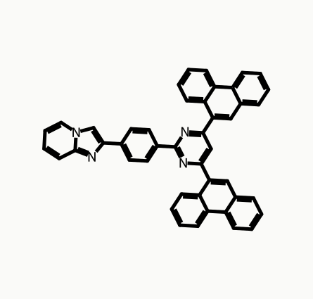 c1ccc2c(c1)cc(-c1cc(-c3cc4ccccc4c4ccccc34)nc(-c3ccc(-c4cn5ccccc5n4)cc3)n1)c1ccccc12